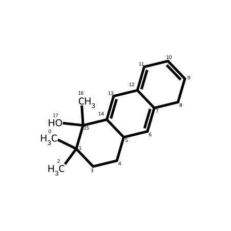 CC1(C)CCC2C=C3CC=CC=C3C=C2C1(C)O